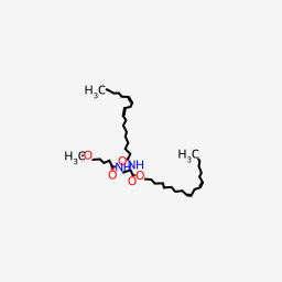 CCCCC/C=C\C/C=C\CCCCCCCCOC(=O)C(CNC(=O)CCCCOC)NC(=O)CCCCCCC/C=C\C/C=C\CCCCC